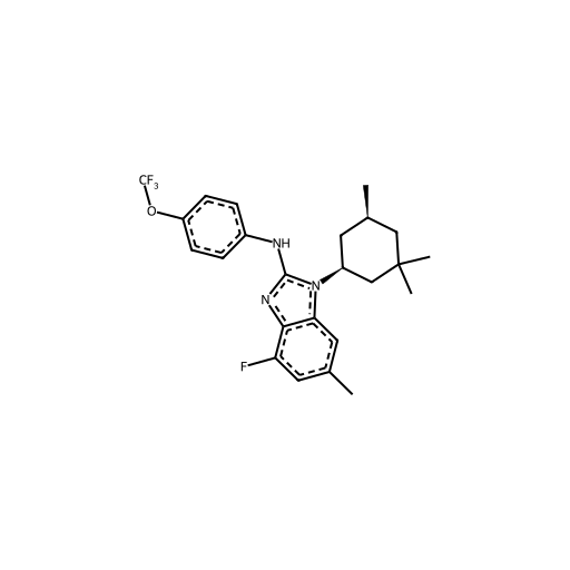 Cc1cc(F)c2nc(Nc3ccc(OC(F)(F)F)cc3)n([C@H]3C[C@@H](C)CC(C)(C)C3)c2c1